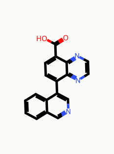 O=C(O)c1ccc(-c2cncc3ccccc23)c2nccnc12